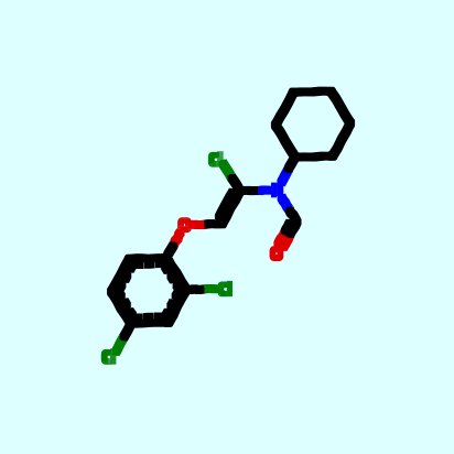 O=CN(/C(Cl)=C/Oc1ccc(Cl)cc1Cl)C1CCCCC1